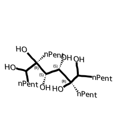 CCCCCC(O)[C@](O)(CCCCC)[C@@H](O)[C@H](O)[C@@](O)(CCCCC)C(O)CCCCC